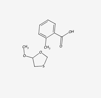 COC1CSCO1.Cc1ccccc1C(=O)O